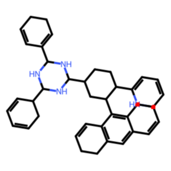 C1=CCNC(C2CCC(C3NC(C4=CCCC=C4)NC(C4C=CC=CC4)N3)CC2c2c3c(cc4c2CCC=C4)CCC=C3)=C1